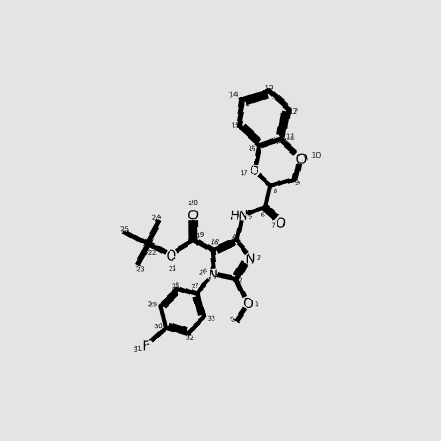 COc1nc(NC(=O)C2COc3ccccc3O2)c(C(=O)OC(C)(C)C)n1-c1ccc(F)cc1